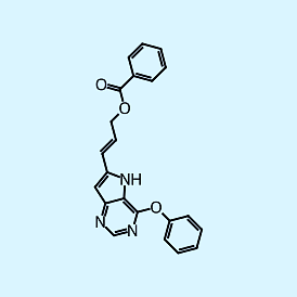 O=C(OCC=Cc1cc2ncnc(Oc3ccccc3)c2[nH]1)c1ccccc1